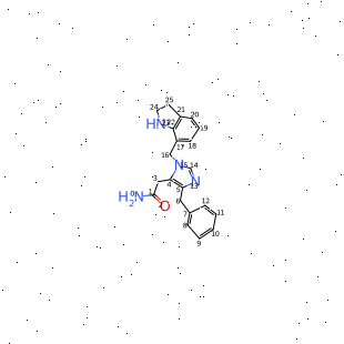 NC(=O)Cc1c(Cc2ccccc2)ncn1Cc1cccc2c1NCC2